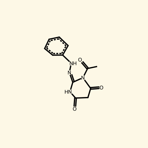 CC(=O)N1C(=O)CC(=O)NC1=NNc1ccccc1